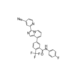 N#Cc1ccnc(-c2ncc3c(-c4ccc(C(F)(F)F)c(C(=O)Nc5ccc(F)cc5)c4)cccn23)c1